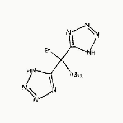 CCCCC(CC)(c1nnn[nH]1)c1nnn[nH]1